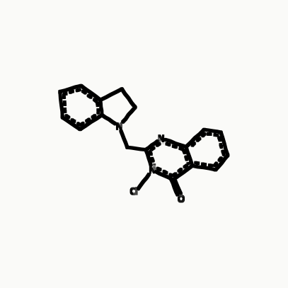 O=c1c2ccccc2nc(CN2CCc3ccccc32)n1Cl